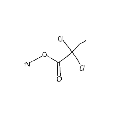 CC(Cl)(Cl)C(=O)O[N]